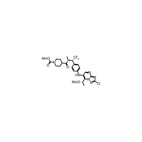 COC(=O)N1CCC(C(=O)N(C)[C@@H](c2ccc(Nc3cnc4nc(Cl)nn4c3[C@H](C)OC)cc2)C(F)(F)F)CC1